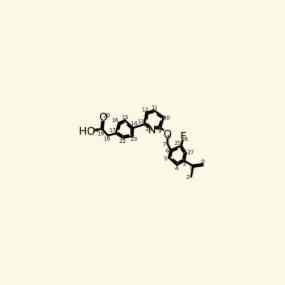 C=C(C)c1ccc(COc2cccc(-c3ccc(CC(=O)O)cc3)n2)c(F)c1